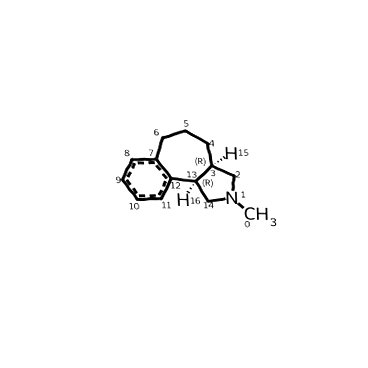 CN1C[C@@H]2CCCc3ccccc3[C@@H]2C1